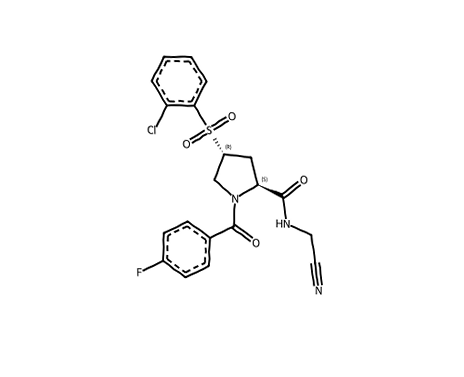 N#CCNC(=O)[C@@H]1C[C@@H](S(=O)(=O)c2ccccc2Cl)CN1C(=O)c1ccc(F)cc1